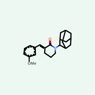 COc1cccc(/C=C2\CCCN(C3C4CC5CC(C4)CC3C5)C2=O)c1